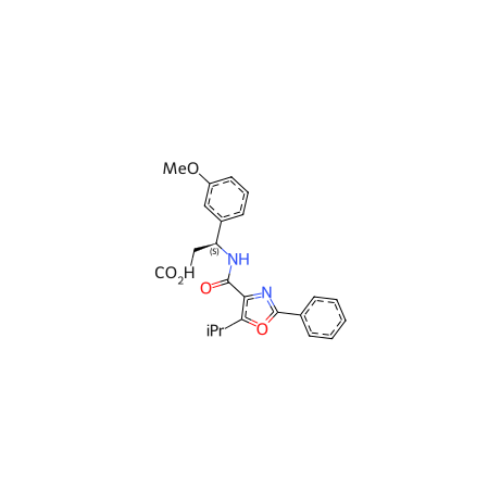 COc1cccc([C@H](CC(=O)O)NC(=O)c2nc(-c3ccccc3)oc2C(C)C)c1